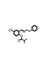 CC(C)C(=O)Oc1ccc(Cl)cc1C=NCCc1ccccc1